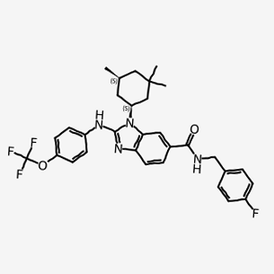 C[C@@H]1C[C@H](n2c(Nc3ccc(OC(F)(F)F)cc3)nc3ccc(C(=O)NCc4ccc(F)cc4)cc32)CC(C)(C)C1